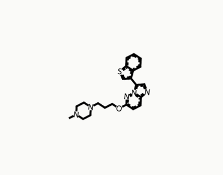 CN1CCN(CCCOc2ccc3ncc(-c4csc5ccccc45)n3n2)CC1